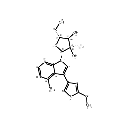 COc1nc(-c2cn([C@@H]3O[C@H](CO)[C@@H](O)[C@@]3(C)O)c3ncnc(N)c23)cs1